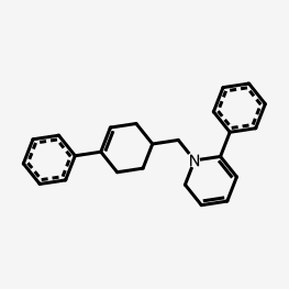 C1=CCN(CC2CC=C(c3ccccc3)CC2)C(c2ccccc2)=C1